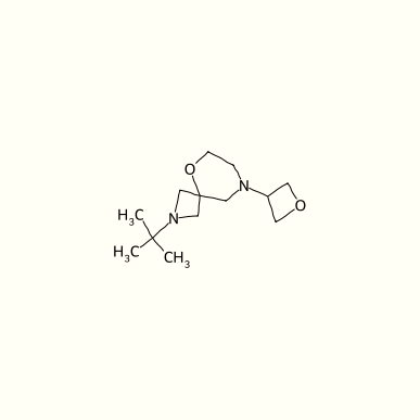 CC(C)(C)N1CC2(CN(C3COC3)CCO2)C1